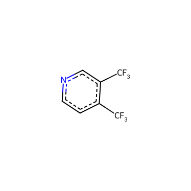 FC(F)(F)c1ccncc1C(F)(F)F